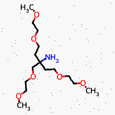 COCCOCCC(N)(CCOCCOC)COCCOC